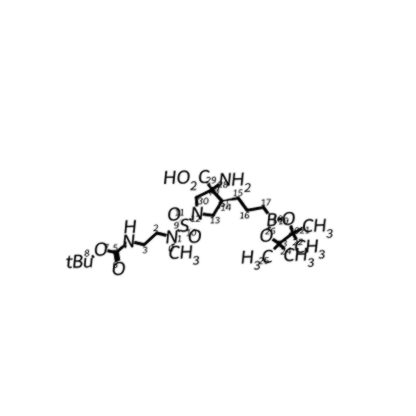 CN(CCNC(=O)OC(C)(C)C)S(=O)(=O)N1C[C@H](CCCB2OC(C)(C)C(C)(C)O2)[C@](N)(C(=O)O)C1